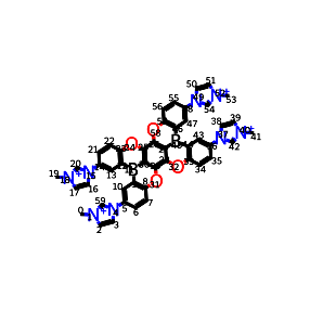 C[n+]1ccn(-c2ccc3c(c2)B2c4cc(-n5cc[n+](C)c5)ccc4Oc4c5c6c(c(c42)O3)Oc2ccc(-n3cc[n+](C)c3)cc2B6c2cc(-n3cc[n+](C)c3)ccc2O5)c1